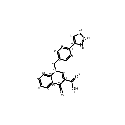 O=C(O)c1cn(Cc2ccc(-c3csnn3)cc2)c2ccccc2c1=O